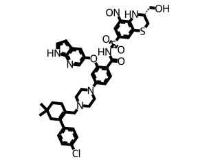 CC1(C)CCC(CN2CCN(c3ccc(C(=O)NS(=O)(=O)c4cc(N=O)c5c(c4)SC[C@@H](CO)N5)c(Oc4cnc5[nH]ccc5c4)c3)CC2)=C(c2ccc(Cl)cc2)C1